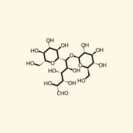 O=C[C@H](O)[C@@H](O)[C@H](O)[C@H](O)C(O[C@@H]1O[C@H](CO)[C@@H](O)[C@H](O)[C@H]1O)[C@@H]1O[C@H](CO)[C@@H](O)[C@H](O)[C@H]1O